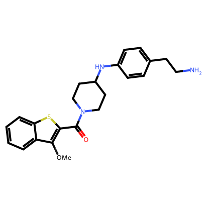 COc1c(C(=O)N2CCC(Nc3ccc(CCN)cc3)CC2)sc2ccccc12